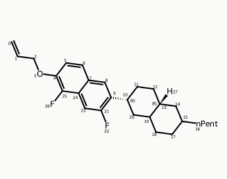 C=CCOc1ccc2cc([C@@H]3CC[C@@H]4CC(CCCCC)CCC4C3)c(F)cc2c1F